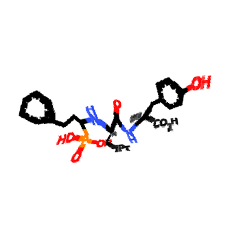 CC(C)C[C@H](NC(CCc1ccccc1)P(=O)(O)O)C(=O)N[C@@H](Cc1ccc(O)cc1)C(=O)O